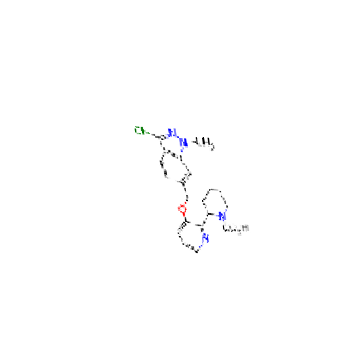 Cn1nc(Cl)c2ccc(COc3cccnc3C3CCCCN3C(=O)O)cc21